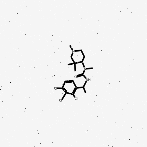 CC(NC(=O)N(C)C1CCN(C)CC1(C)C)c1ccc(Cl)c(Cl)c1Cl